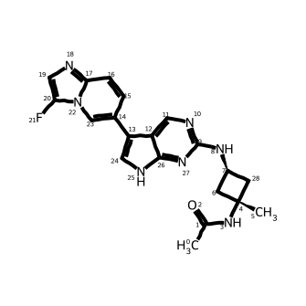 CC(=O)N[C@]1(C)C[C@@H](Nc2ncc3c(-c4ccc5ncc(F)n5c4)c[nH]c3n2)C1